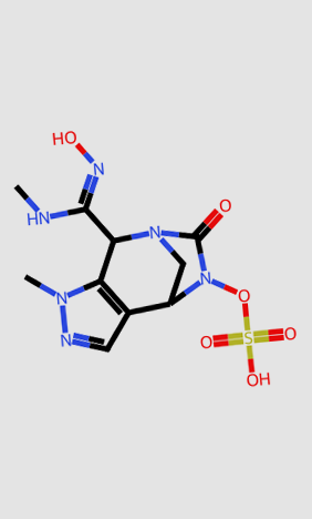 CN/C(=N\O)C1c2c(cnn2C)C2CN1C(=O)N2OS(=O)(=O)O